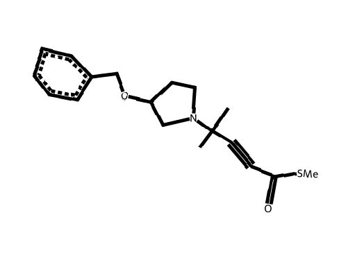 CSC(=O)C#CC(C)(C)N1CCC(OCc2ccccc2)C1